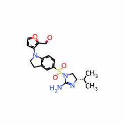 CC(C)[C@H]1CN(S(=O)(=O)c2ccc3c(c2)CCN3c2ccoc2C=O)C(N)=N1